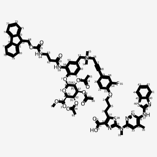 COC(=O)[C@H]1O[C@@H](Oc2ccc(C[N+](C)(C)CC#Cc3ccc(OCCCc4sc(N(C)c5cc(C)c(Nc6nc7ccccc7s6)nn5)nc4C(=O)O)c(F)c3)cc2NC(=O)CCNC(=O)OCC2c3ccccc3-c3ccccc32)[C@H](OC(C)=O)[C@@H](OC(C)=O)[C@@H]1OC(C)=O